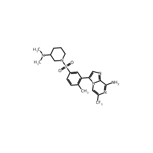 Cc1ccc(S(=O)(=O)N2CCCC(N(C)C)C2)cc1-c1cnc2c(N)nc(C(F)(F)F)cn12